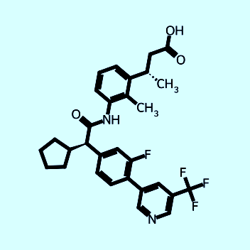 Cc1c(NC(=O)[C@@H](c2ccc(-c3cncc(C(F)(F)F)c3)c(F)c2)C2CCCC2)cccc1[C@@H](C)CC(=O)O